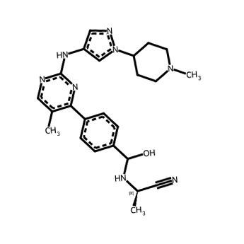 Cc1cnc(Nc2cnn(C3CCN(C)CC3)c2)nc1-c1ccc(C(O)N[C@H](C)C#N)cc1